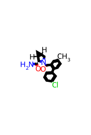 Cc1ccc(-c2cccc(Cl)c2)c(C(=O)N2C[C@H]3C[C@H]3[C@H]2C(N)=O)c1